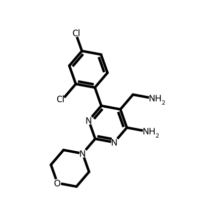 NCc1c(N)nc(N2CCOCC2)nc1-c1ccc(Cl)cc1Cl